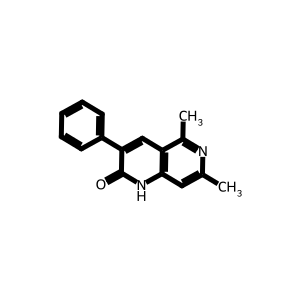 Cc1cc2[nH]c(=O)c(-c3ccccc3)cc2c(C)n1